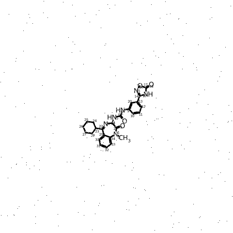 CN1C(=O)[C@H](NC(=O)Nc2cccc(-c3noc(=O)[nH]3)c2)N=C(C2CCCCC2)c2ccccc21